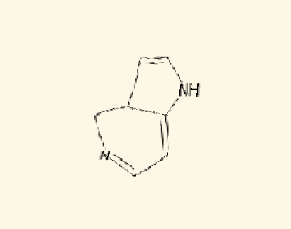 C1=CC2CN=CC=C2N1